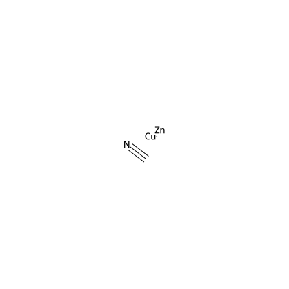 C#N.[Cu].[Zn]